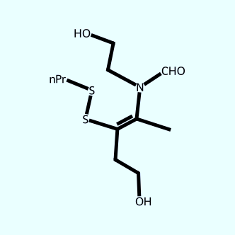 CCCSSC(CCO)=C(C)N(C=O)CCO